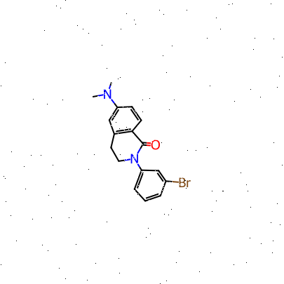 CN(C)c1ccc2c(c1)CCN(c1cccc(Br)c1)C2=O